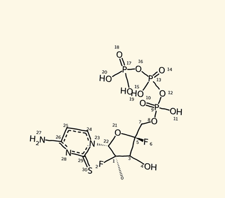 C[C@@]1(F)C(O)[C@@](F)(COP(=O)(O)OP(=O)(O)OP(=O)(O)O)O[C@H]1n1ccc(N)nc1=S